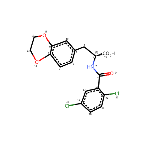 O=C(N[C@@H](Cc1ccc2c(c1)OCCO2)C(=O)O)c1cc(Cl)ccc1Cl